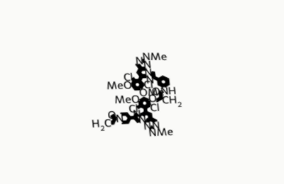 C=CC(=O)N1CCC(c2cn3c(n2)c(-c2c(Cl)c(OC)cc(OCC(=C)C(=O)Nc4cccc(-c5cn6c(n5)c(-c5c(Cl)c(OC)cc(OC)c5Cl)cc5cnc(NC)nc56)c4)c2Cl)cc2cnc(NC)nc23)CC1